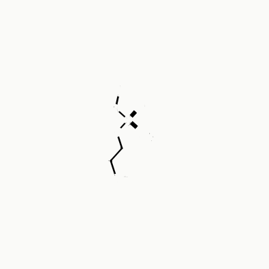 CCCCCCCOS(=O)(=O)N[O-].[Na+]